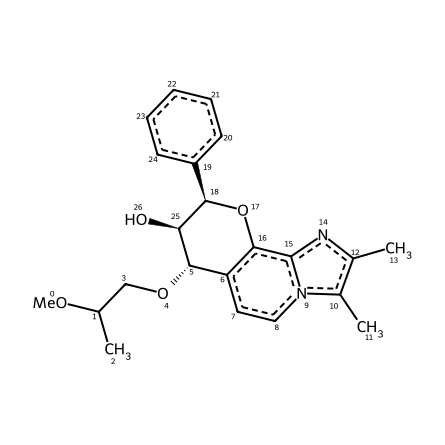 COC(C)CO[C@H]1c2ccn3c(C)c(C)nc3c2O[C@H](c2ccccc2)[C@@H]1O